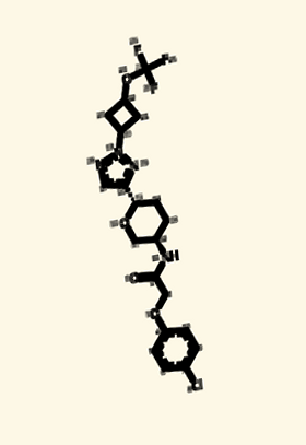 O=C(COc1ccc(Cl)cc1)N[C@@H]1CC[C@@H](c2cnn(C3CC(OC(F)(F)F)C3)n2)OC1